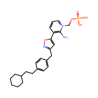 Nc1c(-c2cc(Cc3ccc(CCC4CCCCC4)cc3)no2)ccc[n+]1COP(=O)(O)O